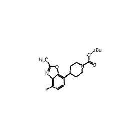 Cc1nc2c(I)ccc(C3CCN(C(=O)OC(C)(C)C)CC3)c2o1